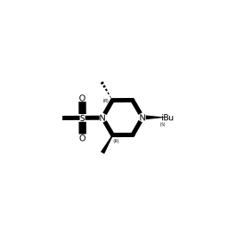 CC[C@H](C)N1C[C@@H](C)N(S(C)(=O)=O)[C@H](C)C1